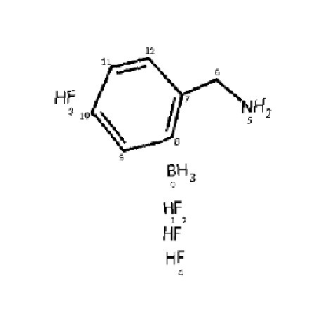 B.F.F.F.F.NCc1ccccc1